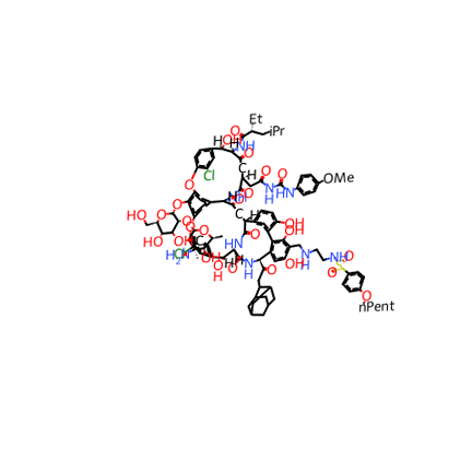 CCCCCOc1ccc(S(=O)(=O)NCCNCc2c(O)cc3c(c2O)-c2cc(ccc2O)[C@H]2CC(=O)[C@@H]4NC(=O)[C@H](CC(=O)NC(=O)Nc5ccc(OC)cc5)CC(=O)[C@H](NC(=O)[C@H](CC)CC(C)C)[C@H](O)c5ccc(c(Cl)c5)Oc5cc4cc(c5O[C@@H]4O[C@H](CO)[C@@H](O)[C@H](O)[C@H]4O[C@H]4C[C@](C)(N)[C@H](O)[C@H](C)O4)Oc4ccc(cc4Cl)[C@@H](O)[C@H](NC2=O)C(=O)N[C@@H]3C(=O)CC2C3CC4CC(C3)CC2C4)cc1